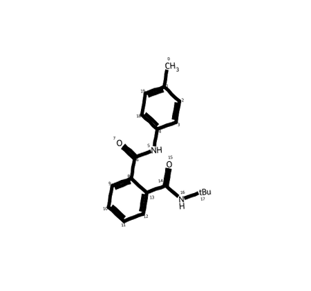 Cc1ccc(NC(=O)c2ccccc2C(=O)NC(C)(C)C)cc1